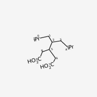 CC(C)CC(CC(C)C)C(CC(=O)O)CC(=O)O